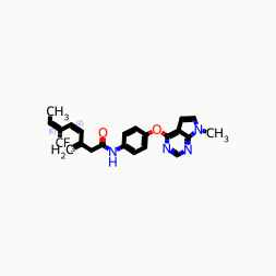 C=C(/C=C\C(=C/C)C(F)(F)F)CC(=O)Nc1ccc(Oc2ncnc3c2ccn3C)cc1